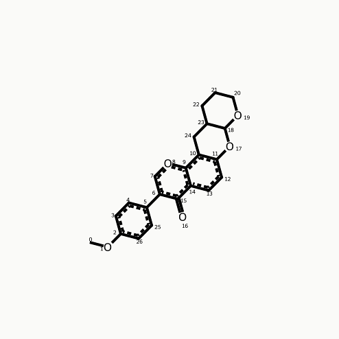 COc1ccc(-c2coc3c4c(ccc3c2=O)OC2OCCCC2C4)cc1